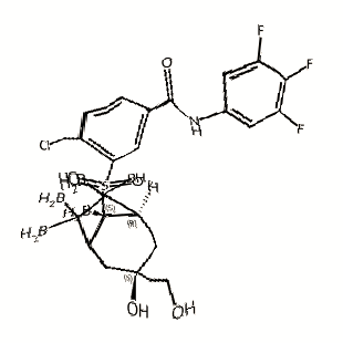 BC1(B)C2C[C@@](O)(CO)C[C@H](C1(B)B)[C@@]2(B)S(=O)(=O)c1cc(C(=O)Nc2cc(F)c(F)c(F)c2)ccc1Cl